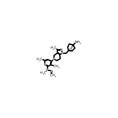 C=NN(C)c1nc(C)cc(N2CCc3c(c(C)nn3CC34CCC(N)(CC3)CO4)C2)c1C